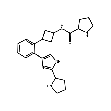 O=C(NC1CC(c2ccccc2-c2c[nH]c(C3CCCN3)n2)C1)C1CCCN1